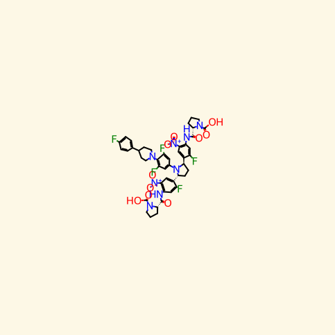 O=C(Nc1cc(F)c([C@H]2CC[C@H](c3cc([N+](=O)[O-])c(NC(=O)[C@@H]4CCCN4C(=O)O)cc3F)N2c2cc(F)c(N3CCC(c4ccc(F)cc4)CC3)c(F)c2)cc1[N+](=O)[O-])[C@@H]1CCCN1C(=O)O